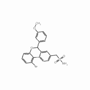 COc1cccc(C2Oc3cccc(Br)c3-c3ccc(CS(N)(=O)=O)cc32)c1